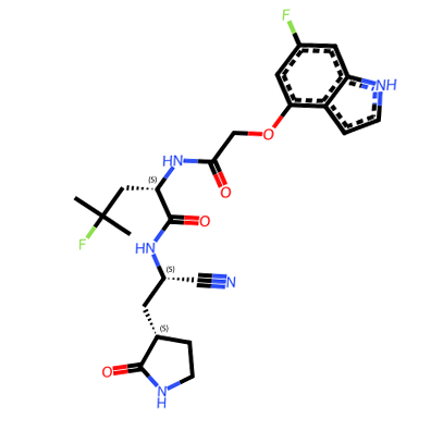 CC(C)(F)C[C@H](NC(=O)COc1cc(F)cc2[nH]ccc12)C(=O)N[C@H](C#N)C[C@@H]1CCNC1=O